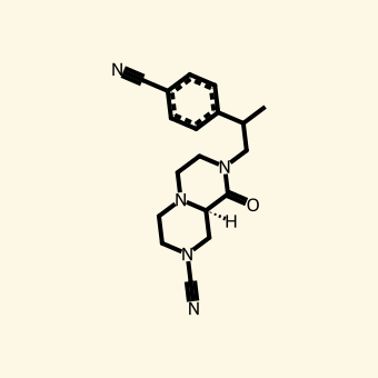 CC(CN1CCN2CCN(C#N)C[C@@H]2C1=O)c1ccc(C#N)cc1